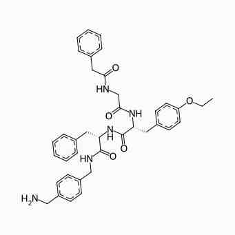 CCOc1ccc(C[C@@H](NC(=O)CNC(=O)Cc2ccccc2)C(=O)N[C@@H](Cc2ccccc2)C(=O)NCc2ccc(CN)cc2)cc1